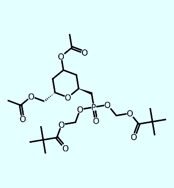 CC(=O)OC[C@@H]1CC(OC(C)=O)C[C@@H](CP(=O)(OCOC(=O)C(C)(C)C)OCOC(=O)C(C)(C)C)O1